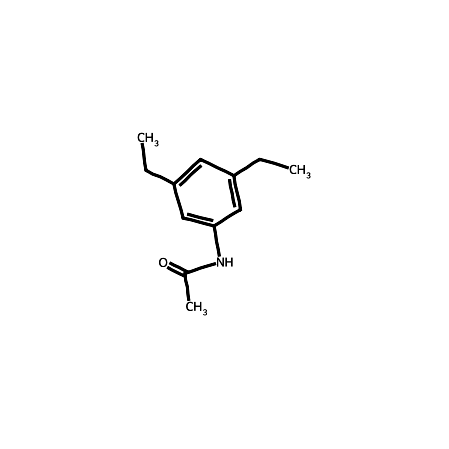 CCc1cc(CC)cc(NC(C)=O)c1